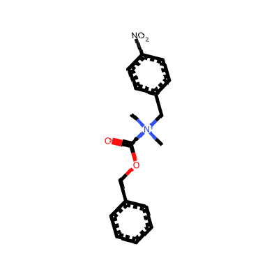 C[N+](C)(Cc1ccc([N+](=O)[O-])cc1)C(=O)OCc1ccccc1